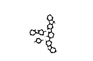 CC(C)(C)c1ccc(Nc2cc3sc4ccccc4c3cc2-c2ccc3c4cc5c(cc4n4c3c2Bc2cc3c(cc2-4)oc2ccccc23)-c2ccccc2C5(C)C)cc1